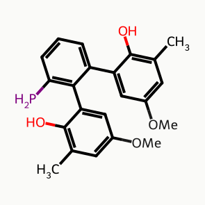 COc1cc(C)c(O)c(-c2cccc(P)c2-c2cc(OC)cc(C)c2O)c1